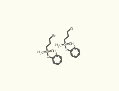 C[Si](C)(CCCBr)Oc1ccccc1.C[Si](C)(CCCCl)Oc1ccccc1